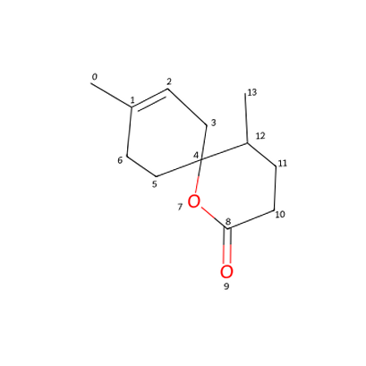 CC1=CCC2(CC1)OC(=O)CCC2C